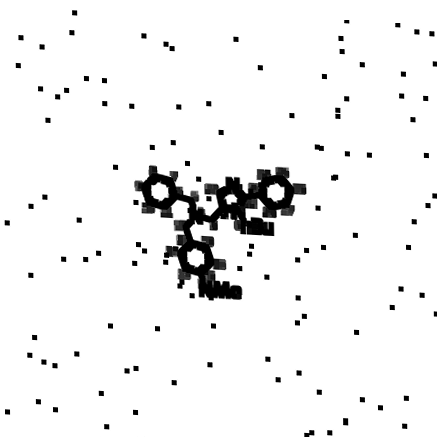 CCCCn1c(CN(Cc2ccccc2)Cc2ccc(NC)cc2)cnc1-c1ccccc1